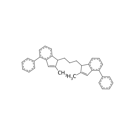 CC1=Cc2c(-c3ccccc3)cccc2C1CCCC1C(C)=Cc2c(-c3ccccc3)cccc21